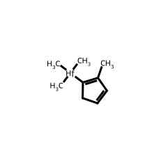 CC1=[C]([Hf]([CH3])([CH3])[CH3])CC=C1